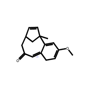 COC1=CC/C2=C/C(=O)CC3C=CC(C)(C3)C2=C1